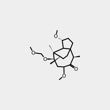 COCO[C@@H]1CC(OC)C(=O)[C@H](C)C23CC[C@@H](C)[C@]1(C)C2[C@H](OC)CC3